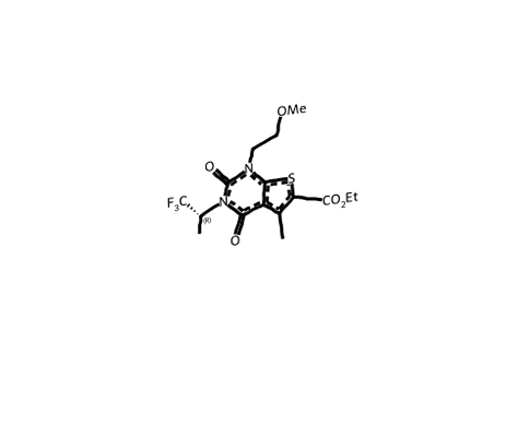 CCOC(=O)c1sc2c(c1C)c(=O)n([C@H](C)C(F)(F)F)c(=O)n2CCOC